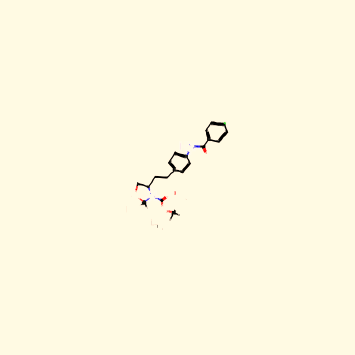 CC(C)(C)OC(=O)N1C(CCc2ccc(NC(=O)c3ccc(Cl)cc3)cc2)COC1(C)C